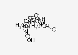 Cn1c(C(=O)Nc2cccc(-c3cccc(NC(=O)c4nc5c(n4C)CCN([C@H]4CC[C@H](O)CC4)C5)c3Cl)c2Cl)nc2c1CCN(CCC1CCCCC1)C2